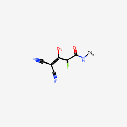 CNC(=O)C(F)C(O)=C(C#N)C#N